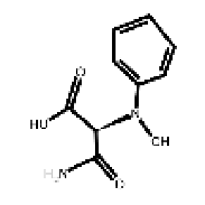 NC(=O)[C@@H](C(=O)O)N(O)c1ccccc1